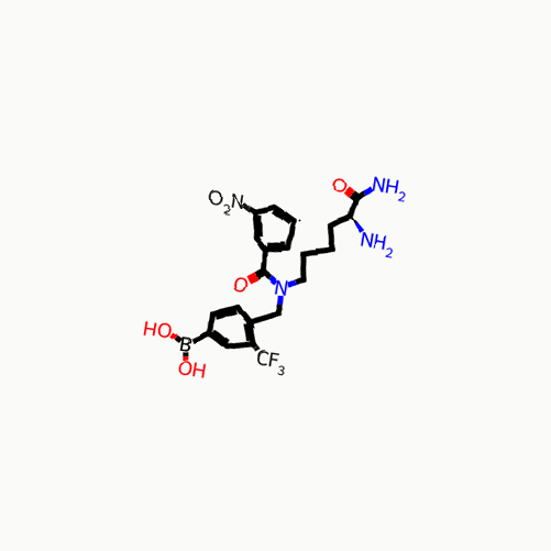 NC(=O)[C@@H](N)CCCCN(Cc1ccc(B(O)O)cc1C(F)(F)F)C(=O)c1c[c]cc([N+](=O)[O-])c1